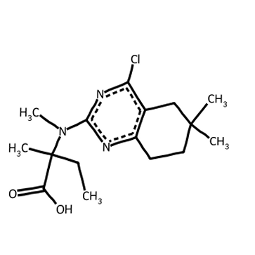 CCC(C)(C(=O)O)N(C)c1nc(Cl)c2c(n1)CCC(C)(C)C2